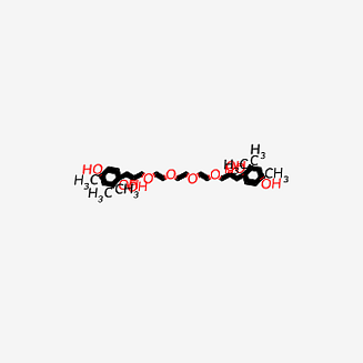 CC1(O)C=CC(O)(CC(O)COCCOCCOCCOCC(O)CC2(O)C=CC(C)(O)CC2(C)C)C(C)(C)C1